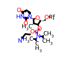 CC(C)N(C(C)C)P(OCCC#N)OC1[C@@H](C[O][Rf])O[C@@H](n2ccc(=O)[nH]c2=O)[C@H]1C